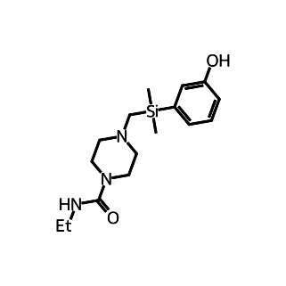 CCNC(=O)N1CCN(C[Si](C)(C)c2cccc(O)c2)CC1